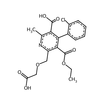 CCOC(=O)c1c(COCC(=O)O)nc(C)c(C(=O)O)c1-c1ccccc1Cl